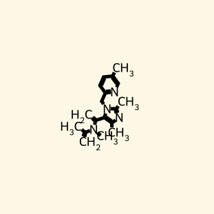 C=C(C)N(C)C(=C)c1c(C)nc(C)n1Cc1ccc(C)cn1